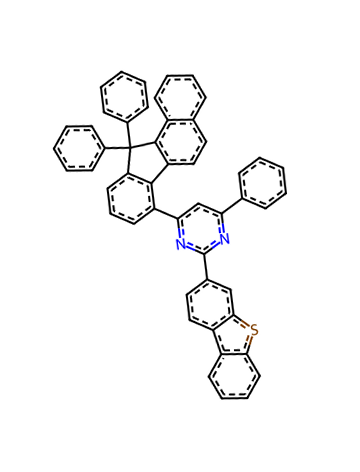 c1ccc(-c2cc(-c3cccc4c3-c3ccc5ccccc5c3C4(c3ccccc3)c3ccccc3)nc(-c3ccc4c(c3)sc3ccccc34)n2)cc1